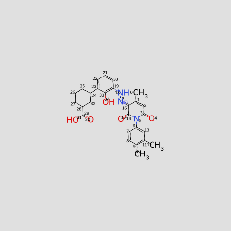 CC1=CC(=O)N(c2ccc(C)c(C)c2)C(=O)/C1=N/Nc1cccc(C2CCCC(C(=O)O)C2)c1O